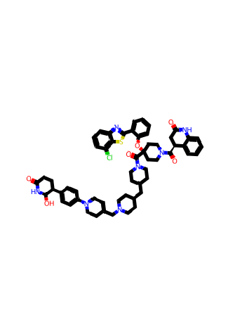 O=C1C[C@H](C(=O)N2CCC(Oc3ccccc3-c3nc4cccc(Cl)c4s3)(C(=O)N3CCC(CC4CCN(CC5CCN(c6ccc(C7CCC(=O)NC7O)cc6)CC5)CC4)CC3)CC2)c2ccccc2N1